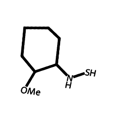 COC1CCCCC1NS